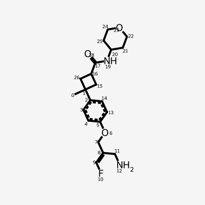 CC1(c2ccc(OC/C(=C/F)CN)cc2)CC(C(=O)NC2CCOCC2)C1